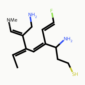 C/C=C(\C=C(/C=C/F)C(N)CCS)C(=C/NC)/CN